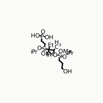 CCC(CC)(C(C)O[Si](CCCO)(OC)OC(C)C)[Si](CCP(=O)(O)O)(OC)OC(C)C